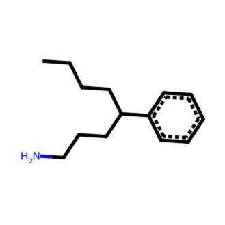 CCCCC(CCCN)c1ccccc1